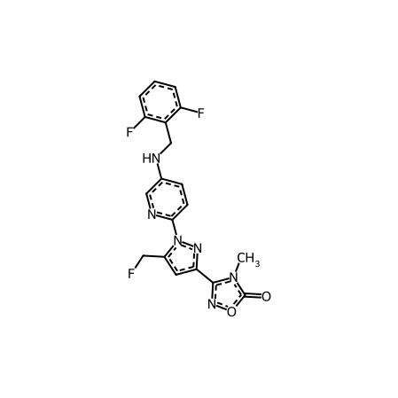 Cn1c(-c2cc(CF)n(-c3ccc(NCc4c(F)cccc4F)cn3)n2)noc1=O